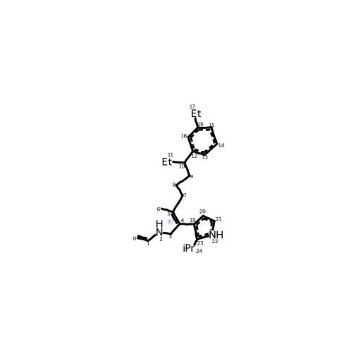 C=CNC/C(=C(\C)CCCC(CC)c1cccc(CC)c1)c1cc[nH]c1C(C)C